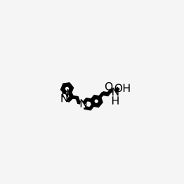 O=C(/C=C/c1ccc2c(c1)CN(CCc1cnn3ccccc13)CC2)NO